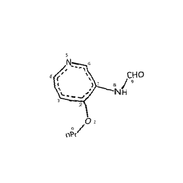 CCCOc1ccncc1NC=O